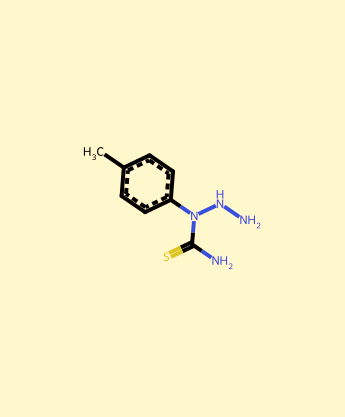 Cc1ccc(N(NN)C(N)=S)cc1